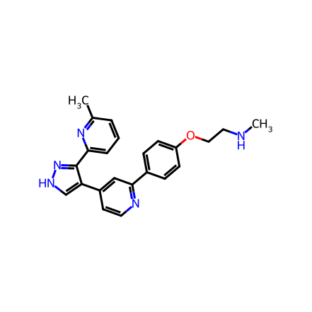 CNCCOc1ccc(-c2cc(-c3c[nH]nc3-c3cccc(C)n3)ccn2)cc1